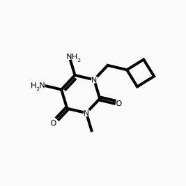 Cn1c(=O)c(N)c(N)n(CC2CCC2)c1=O